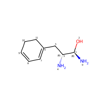 N[C@H](O)[C@H](N)CC1=CC=CCC1